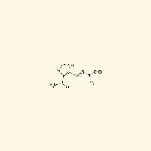 CN(C=O)/N=N/c1[nH]cnc1C(N)=O